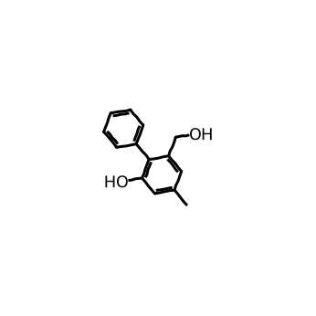 Cc1cc(O)c(-c2ccccc2)c(CO)c1